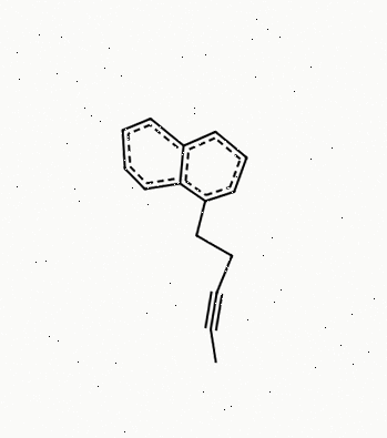 CC#CCCc1cccc2ccccc12